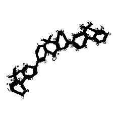 CC1(C)c2ccc(-c3ccc4c(c3)C(C)(C)c3ccccc3-4)cc2C(=O)c2cc(-c3ccc4c(c3)C(C)(C)c3ccccc3-4)ccc21